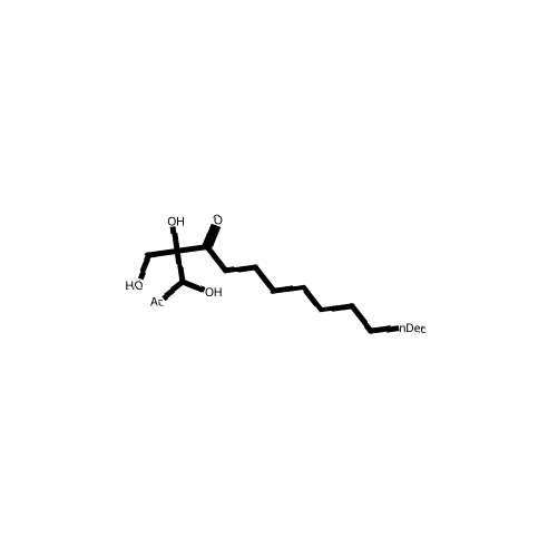 CCCCCCCCCCCCCCCCCC(=O)C(O)(CO)C(O)C(C)=O